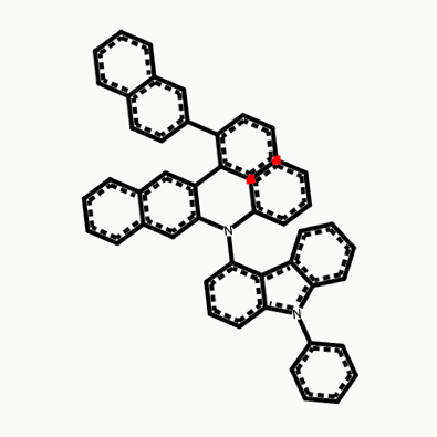 c1ccc(N(c2cc3ccccc3cc2-c2ccccc2-c2ccc3ccccc3c2)c2cccc3c2c2ccccc2n3-c2ccccc2)cc1